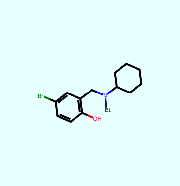 CCN(Cc1cc(Br)ccc1O)C1CCCCC1